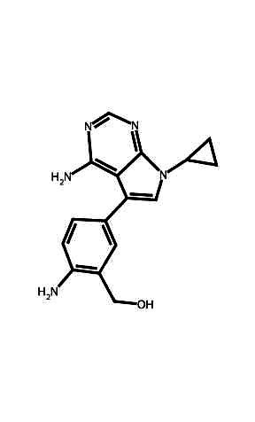 Nc1ccc(-c2cn(C3CC3)c3ncnc(N)c23)cc1CO